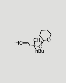 [CH]=CCC(C)(CCCC)OC1CCCCO1